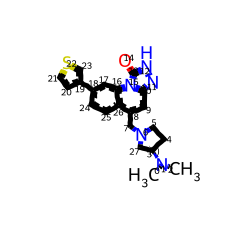 CN(C)[C@@H]1CCN(Cc2cc3n[nH]c(=O)n3c3cc(-c4ccsc4)ccc23)C1